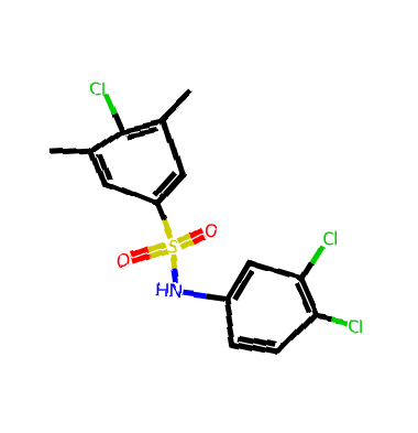 Cc1cc(S(=O)(=O)Nc2ccc(Cl)c(Cl)c2)cc(C)c1Cl